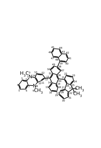 CN1c2ccccc2N(C)c2cc(-c3c4ccccc4c(-c4cccc5c4-c4ccccc4C5(C)C)c4cc(-c5cccc6ccccc56)ccc34)ccc21